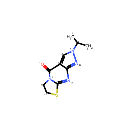 CC(C)n1cc2c(=O)n3c(nc2n1)SCC3